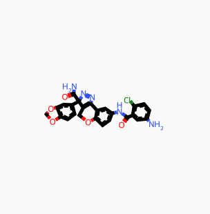 NC(=O)C1(c2ccc3c(c2)OCO3)N=NC2=C1COc1ccc(NC(=O)c3cc(N)ccc3Cl)cc12